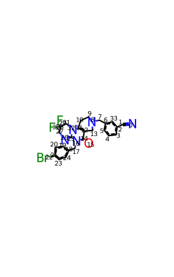 N#Cc1cccc(CN2CCC3=C(C2)C(=O)N(Cc2ccc(Br)cc2)C2=NCC(F)(F)CN23)c1